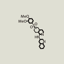 COc1ccc(S(=O)(=O)N2CCc3c(ccnc3Nc3cnc4ccccc4c3)C2)cc1OC